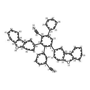 N#Cc1cccc(-c2c(-c3ccc4oc5ccccc5c4c3)cc(-c3ccccc3)c(C#N)c2-c2ccc3oc4ccccc4c3c2)c1